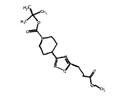 COC(=O)CCc1nc(C2CCN(C(=O)OC(C)(C)C)CC2)no1